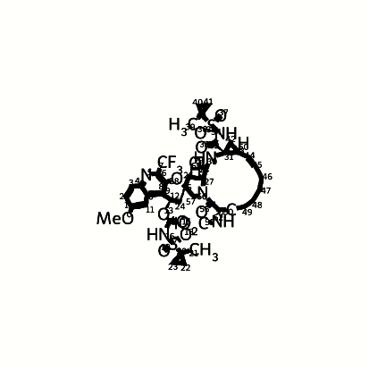 COc1ccc2nc(C(F)(F)F)c3c(c2c1)[C@H](OC(=O)NS(=O)(=O)C1(C)CC1)C[C@]1(C[C@H]2C(=O)N[C@]4(C(=O)NS(=O)(=O)C5(C)CC5)C[C@H]4/C=C\CCCCC[C@H](NC(=O)O)C(=O)N2C1)O3